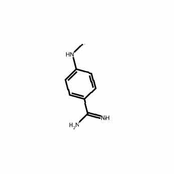 [CH2]Nc1ccc(C(=N)N)cc1